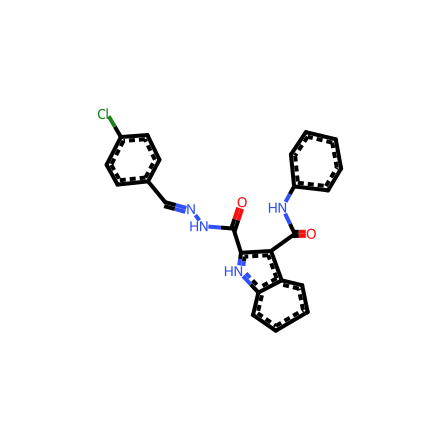 O=C(NN=Cc1ccc(Cl)cc1)c1[nH]c2ccccc2c1C(=O)Nc1ccccc1